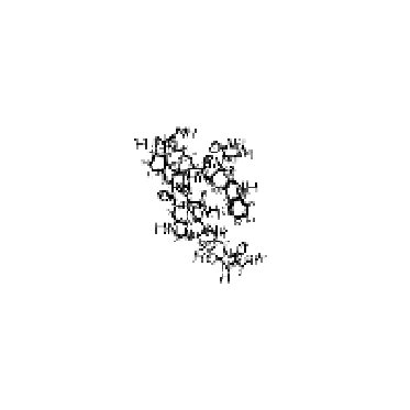 CC(C)C[C@@H]1NC(=O)N(CC(=O)N[C@@H](CS)C(=O)N[C@H](C)C(=O)N[C@@H](Cc2cnc[nH]2)C(=O)N[C@H](Cc2ccccc2)C(=O)N[C@@H](CCCNC(=N)N)C(=O)N[C@@H](Cc2c[nH]c3ccccc23)C(=O)N[C@@H](CS)C(N)=O)C1=O